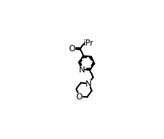 CC(C)C(=O)c1ccc(CN2CCOCC2)nc1